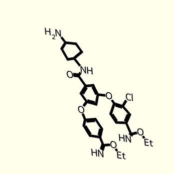 CCOC(=N)c1ccc(Oc2cc(Oc3ccc(C(=N)OCC)cc3Cl)cc(C(=O)NC3CCC(N)CC3)c2)cc1